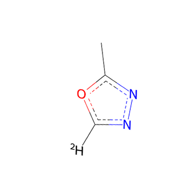 [2H]c1nnc(C)o1